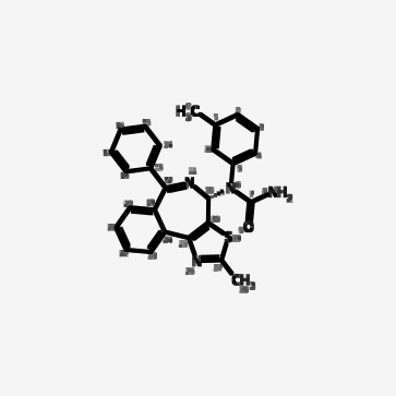 Cc1cccc(N(C(N)=O)[C@H]2N=C(c3ccccc3)c3ccccc3-c3nc(C)sc32)c1